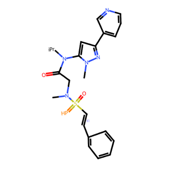 CC(C)N(C(=O)CN(C)S(=O)(=P)/C=C/c1ccccc1)c1cc(-c2cccnc2)nn1C